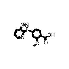 COc1cc(-n2nnc3cccnc32)ccc1C(=O)O